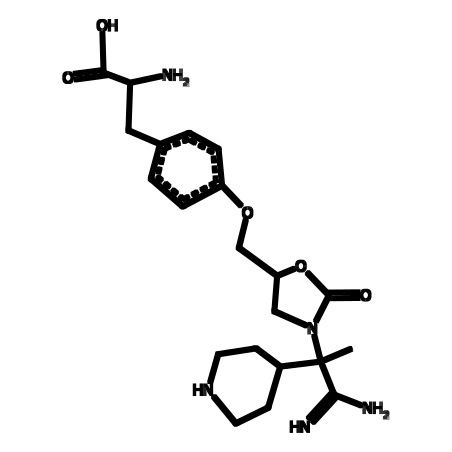 CC(C(=N)N)(C1CCNCC1)N1CC(COc2ccc(CC(N)C(=O)O)cc2)OC1=O